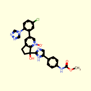 COC(=O)Nc1ccc(-c2cnc(C3(O)CCc4cc(-c5cc(Cl)ccc5-n5cnnc5)c[n+]([O-])c43)[nH]2)cc1